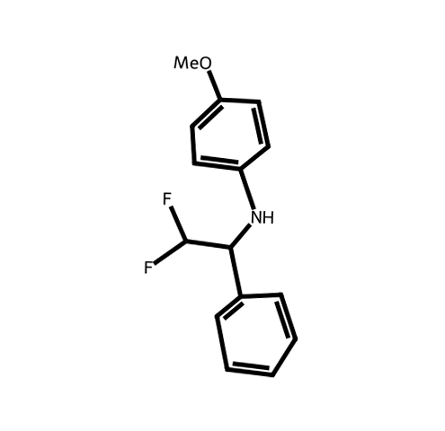 COc1ccc(NC(c2ccccc2)C(F)F)cc1